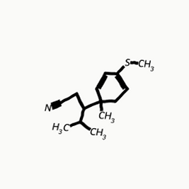 CSC1=CCC(C)(C(CC#N)C(C)C)C=C1